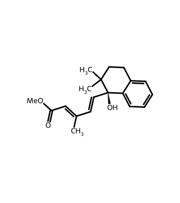 COC(=O)C=C(C)C=C[C@@]1(O)c2ccccc2CCC1(C)C